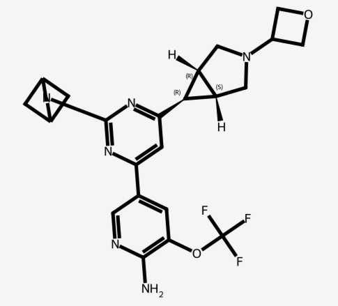 Nc1ncc(-c2cc([C@H]3[C@@H]4CN(C5COC5)C[C@@H]43)nc(N3CC4CC3C4)n2)cc1OC(F)(F)F